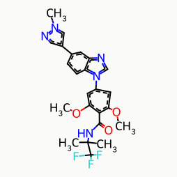 COc1cc(-n2cnc3cc(-c4cnn(C)c4)ccc32)cc(OC)c1C(=O)NC(C)(C)C(F)(F)F